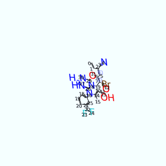 C=C/C(C#N)=C\C=C(/Br)C1C(C(=O)O)=C(C)N(c2cccc(C(F)F)c2)C(=N)N1C(N)=O